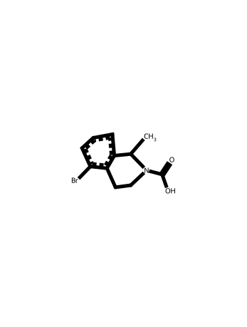 CC1c2cccc(Br)c2CCN1C(=O)O